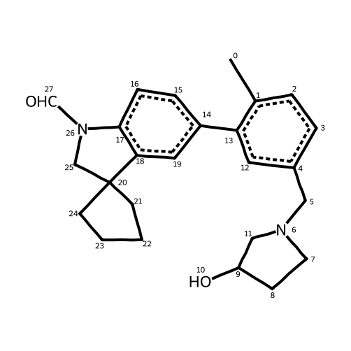 Cc1ccc(CN2CCC(O)C2)cc1-c1ccc2c(c1)C1(CCCC1)CN2C=O